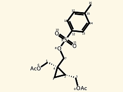 CC(=O)OC[C@@H]1C[C@@]1(COC(C)=O)COS(=O)(=O)c1ccc(C)cc1